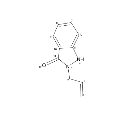 C=CCn1[nH]c2ccccc2c1=O